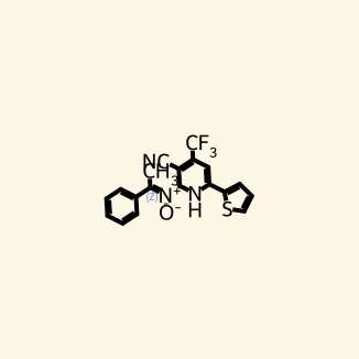 C/C(c1ccccc1)=[N+](/[O-])C1NC(c2cccs2)=CC(C(F)(F)F)=C1C#N